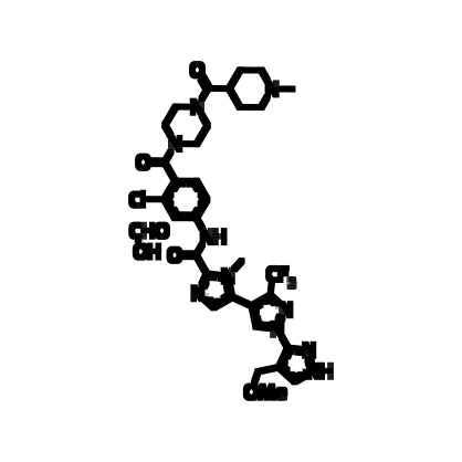 COCc1c[nH]nc1-n1cc(-c2cnc(C(=O)Nc3ccc(C(=O)N4CCN(C(=O)C5CCN(C)CC5)CC4)c(Cl)c3)n2C)c(C(F)(F)F)n1.O=CO